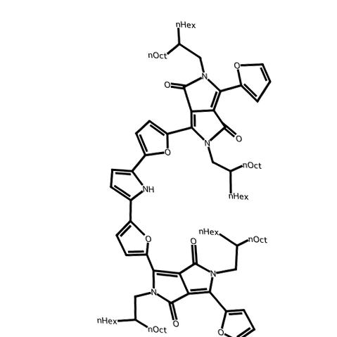 CCCCCCCCC(CCCCCC)CN1C(=O)C2=C(c3ccc(-c4ccc(-c5ccc(C6=C7C(=O)N(CC(CCCCCC)CCCCCCCC)C(c8ccco8)=C7C(=O)N6CC(CCCCCC)CCCCCCCC)o5)[nH]4)o3)N(CC(CCCCCC)CCCCCCCC)C(=O)C2=C1c1ccco1